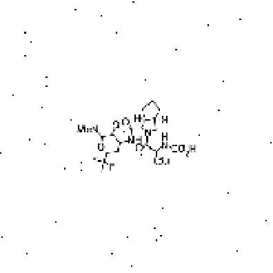 CNC(=O)C(=O)C(CCC(C)(F)F)NC(=O)[C@@H]1[C@H]2CCC[C@H]2CN1C(=O)C(NC(=O)O)C(C)(C)C